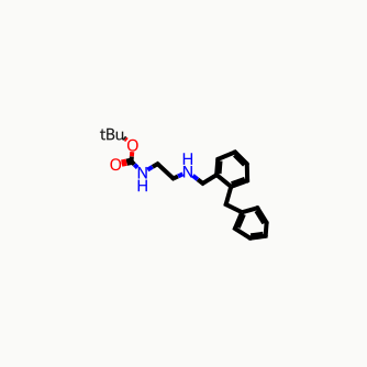 CC(C)(C)OC(=O)NCCNCc1ccccc1Cc1ccccc1